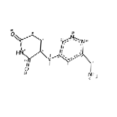 NCc1cc(NC2CCC(=O)NC2=O)cnn1